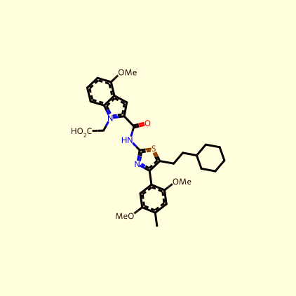 COc1cc(-c2nc(NC(=O)c3cc4c(OC)cccc4n3CC(=O)O)sc2CCC2CCCCC2)c(OC)cc1C